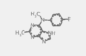 Cc1nc(N(C)c2ccc(F)cc2)c2[nH]cnc2n1